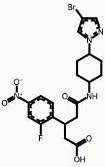 O=C(O)CC(CC(=O)NC1CCC(n2cc(Br)cn2)CC1)c1ccc([N+](=O)[O-])cc1F